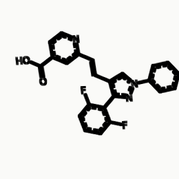 O=C(O)c1ccnc(C=Cc2cn(-c3ccccc3)nc2-c2c(F)cccc2F)c1